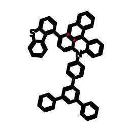 c1ccc(-c2cc(-c3ccccc3)cc(-c3ccc(N(c4ccc(-c5cccc6sc7ccccc7c56)cc4)c4ccccc4-c4cccc5ccccc45)cc3)c2)cc1